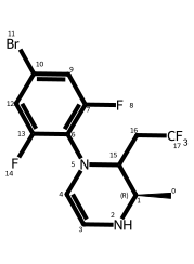 C[C@H]1NC=CN(c2c(F)cc(Br)cc2F)C1CC(F)(F)F